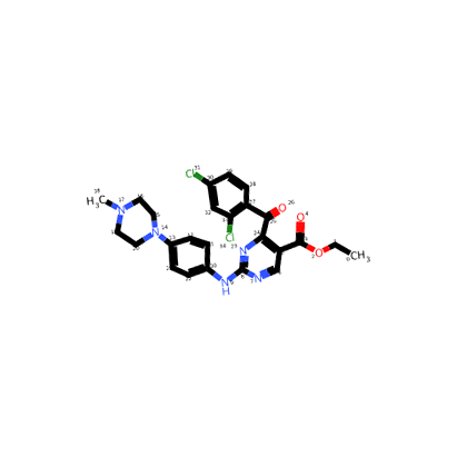 CCOC(=O)c1cnc(Nc2ccc(N3CCN(C)CC3)cc2)nc1C(=O)c1ccc(Cl)cc1Cl